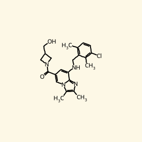 Cc1ccc(Cl)c(C)c1CNc1cc(C(=O)N2CC(CO)C2)cn2c(C)c(C)nc12